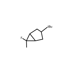 CC(C)(C)C1CC2C(C1)C2(C)F